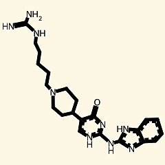 N=C(N)NCCCCCN1CCC(c2c[nH]c(Nc3nc4ccccc4[nH]3)nc2=O)CC1